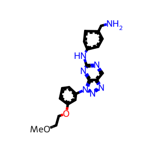 COCCOc1cccc(-n2nnc3cnc(Nc4ccc(CN)cc4)nc32)c1